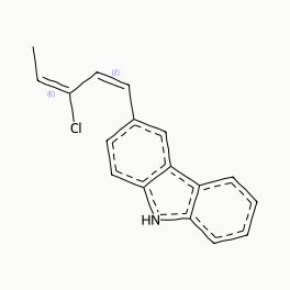 C/C=C(Cl)\C=C/c1ccc2[nH]c3ccccc3c2c1